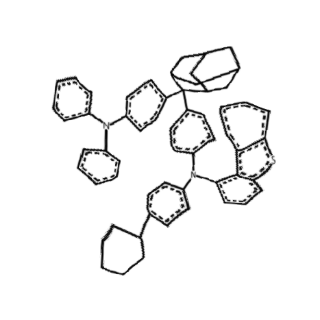 c1ccc(N(c2ccccc2)c2ccc(C3(c4ccc(N(c5ccc(C6CCCCC6)cc5)c5cccc6sc7ccccc7c56)cc4)C4CC5CC(C4)CC3C5)cc2)cc1